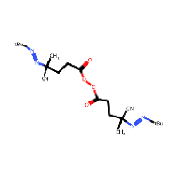 CC(C)(C)N=NC(C)(C#N)CCC(=O)OOC(=O)CCC(C)(C#N)N=NC(C)(C)C